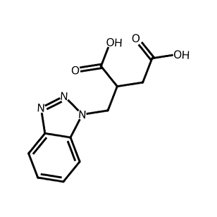 O=C(O)CC(Cn1nnc2ccccc21)C(=O)O